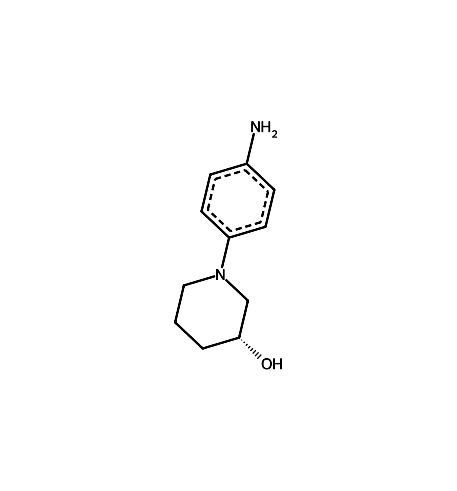 Nc1ccc(N2CCC[C@@H](O)C2)cc1